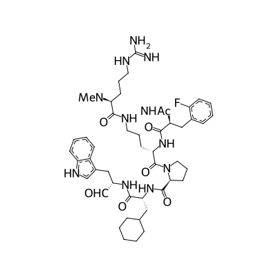 CN[C@@H](CCCNC(=N)N)C(=O)NCCC[C@H](NC(=O)[C@H](Cc1ccccc1F)NC(C)=O)C(=O)N1CCC[C@H]1C(=O)N[C@H](CC1CCCCC1)C(=O)N[C@H](C=O)Cc1c[nH]c2ccccc12